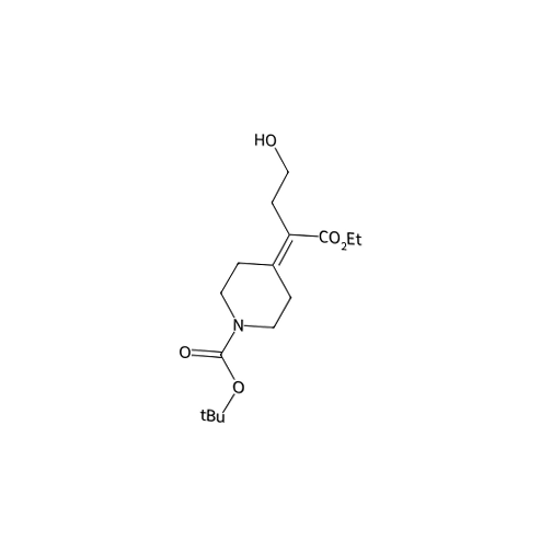 CCOC(=O)C(CCO)=C1CCN(C(=O)OC(C)(C)C)CC1